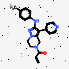 C=CC(=O)N1CCn2nc(Nc3ccc(C(F)(F)F)cc3)c(-c3ccncc3)c2C1